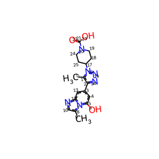 Cc1c(-c2cc(O)n3c(C)cnc3c2)nnn1C1CCN(C(=O)O)CC1